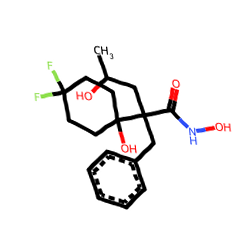 CC(O)CC(Cc1ccccc1)(C(=O)NO)C1(O)CCC(F)(F)CC1